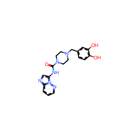 O=C(Nc1cnc2cccnn12)N1CCN(Cc2ccc(O)c(O)c2)CC1